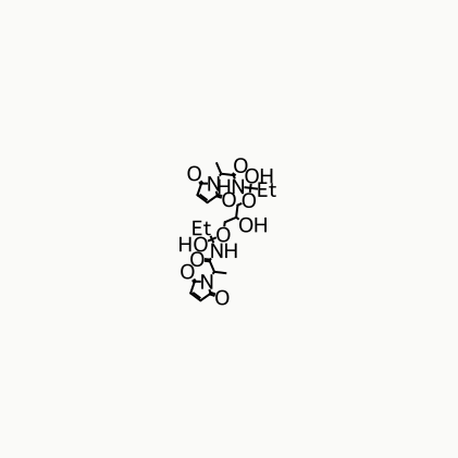 CCC(O)(NC(=O)C(C)N1C(=O)C=CC1=O)OCC(O)COC(O)(CC)NC(=O)C(C)N1C(=O)C=CC1=O